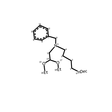 CCCCCCCCCCCCCCN(Cc1ccccc1)CC(OCC)OCC